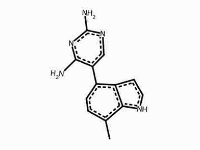 Cc1ccc(-c2cnc(N)nc2N)c2cc[nH]c12